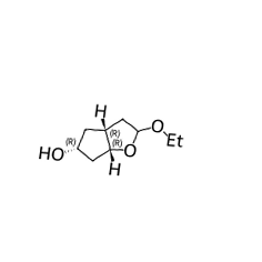 CCOC1C[C@H]2C[C@@H](O)C[C@H]2O1